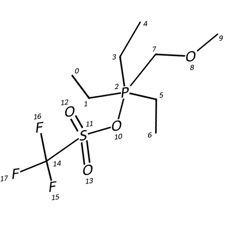 CCP(CC)(CC)(COC)OS(=O)(=O)C(F)(F)F